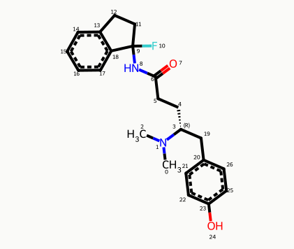 CN(C)[C@H](CCC(=O)NC1(F)CCc2ccccc21)Cc1ccc(O)cc1